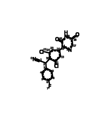 N#CC(c1ccc(F)cc1)c1c(Cl)cc(-n2ncc(=O)[nH]c2=O)cc1Cl